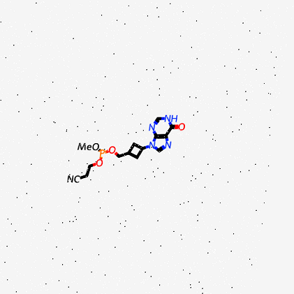 COP(OCCC#N)OCC1CC(n2cnc3c(=O)[nH]cnc32)C1